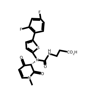 CN1C=CC(=O)[C@H](N(C(=O)NCCC(=O)O)c2ccc(-c3ccc(F)cc3F)s2)C1=O